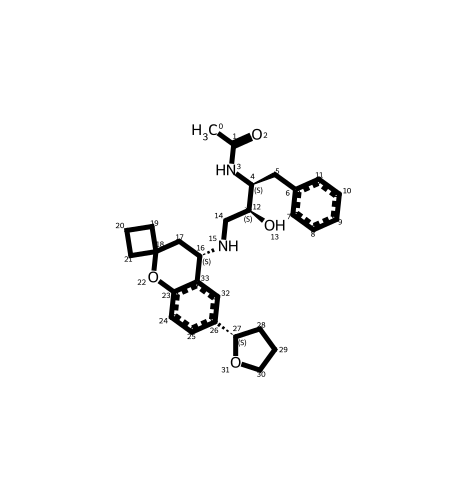 CC(=O)N[C@@H](Cc1ccccc1)[C@@H](O)CN[C@H]1CC2(CCC2)Oc2ccc([C@@H]3CCCO3)cc21